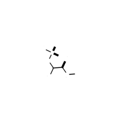 CCC(OS(=O)(=O)C(F)(F)F)C(=O)OC(C)(C)C